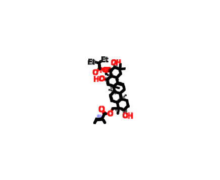 C/C=C(\C)C(=O)OC[C@]1(C)C2CC[C@]3(C)C(CC=C4C5CC(C)(C)[C@@H](O)[C@H](O)[C@]5(COC(=O)C(CC)CC)[C@H](O)C[C@]43C)[C@@]2(C)CC[C@@H]1O